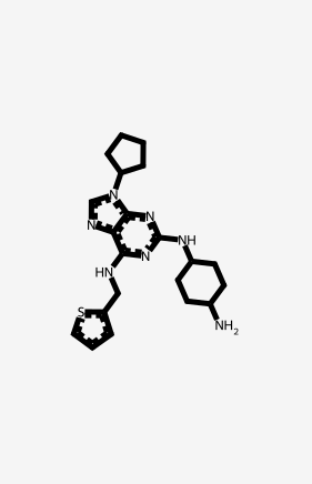 NC1CCC(Nc2nc(NCc3cccs3)c3ncn(C4CCCC4)c3n2)CC1